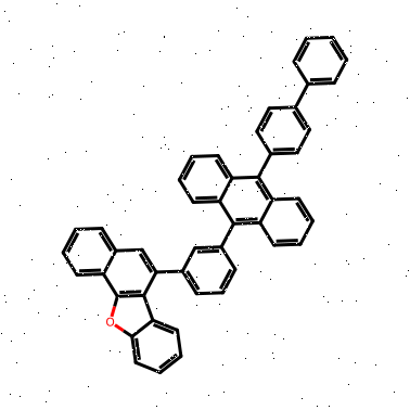 c1ccc(-c2ccc(-c3c4ccccc4c(-c4cccc(-c5cc6ccccc6c6oc7ccccc7c56)c4)c4ccccc34)cc2)cc1